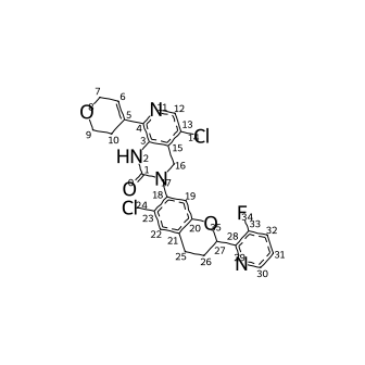 O=C1Nc2c(C3=CCOCC3)ncc(Cl)c2CN1c1cc2c(cc1Cl)CCC(c1ncccc1F)O2